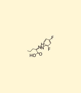 CCCC(=NNc1ccc(F)cc1F)C(=O)O